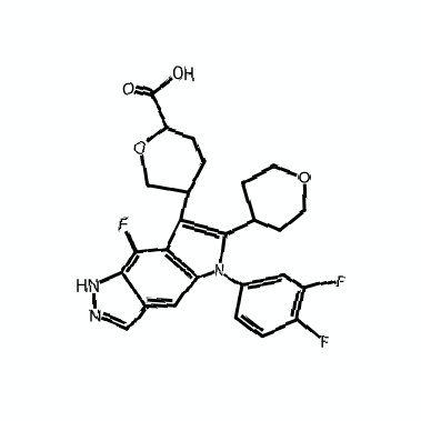 O=C(O)C1CCC(c2c(C3CCOCC3)n(-c3ccc(F)c(F)c3)c3cc4cn[nH]c4c(F)c23)CO1